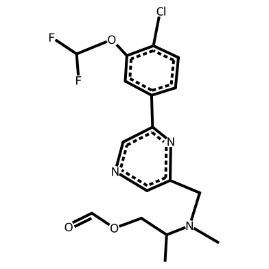 CC(COC=O)N(C)Cc1cncc(-c2ccc(Cl)c(OC(F)F)c2)n1